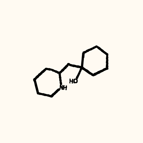 OC1(CC2CCCCN2)CCCCC1